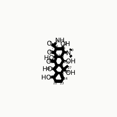 CN(C)C1C(O)=C(C(N)=O)C(=O)C2(O)C(=O)C3=C(O)c4c(O)cccc4C(C)(O)C3[C@H](O)C12